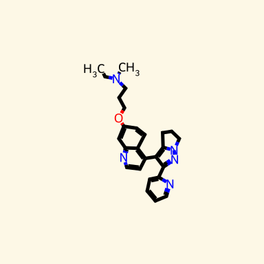 CCN(C)CCCOc1ccc2c(-c3c(-c4ccccn4)nn4c3CCC4)ccnc2c1